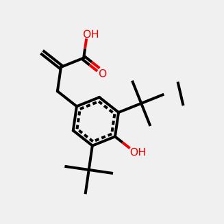 C=C(Cc1cc(C(C)(C)C)c(O)c(C(C)(C)C)c1)C(=O)O.CC